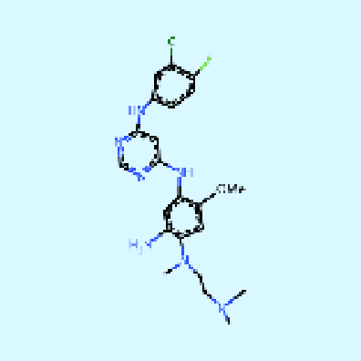 COc1cc(N(C)CCN(C)C)c(N)cc1Nc1cc(Nc2ccc(F)c(Cl)c2)ncn1